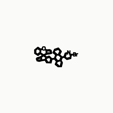 Brc1ccc(-c2c3ccccc3c(-c3ccc4c(c3)C3(c5ccccc5Oc5ccccc53)c3ccccc3-4)c3ccccc23)cn1